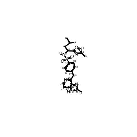 Cc1noc(C(CC(C)C)N(C)S(=O)(=O)c2ccc(Cc3nccc4[nH]c(C)nc34)cc2)n1